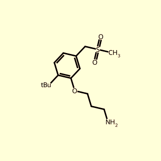 CC(C)(C)c1ccc(CS(C)(=O)=O)cc1OCCCN